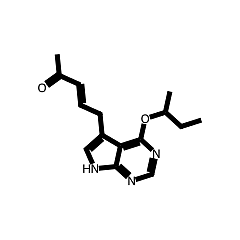 CCC(C)Oc1ncnc2[nH]cc(CC=CC(C)=O)c12